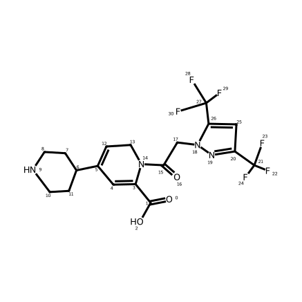 O=C(O)C1=CC(C2CCNCC2)=CCN1C(=O)Cn1nc(C(F)(F)F)cc1C(F)(F)F